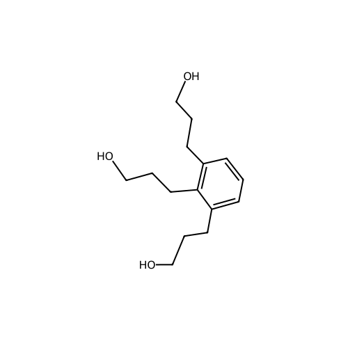 OCCCc1cccc(CCCO)c1CCCO